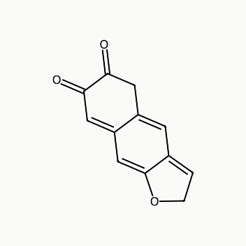 O=C1C=c2cc3c(cc2CC1=O)=CCO3